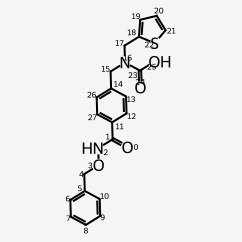 O=C(NOCc1ccccc1)c1ccc(CN(Cc2cccs2)C(=O)O)cc1